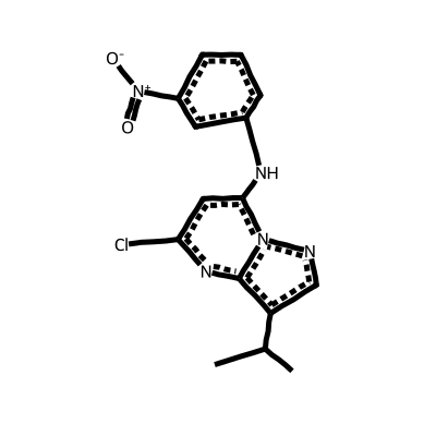 CC(C)c1cnn2c(Nc3cccc([N+](=O)[O-])c3)cc(Cl)nc12